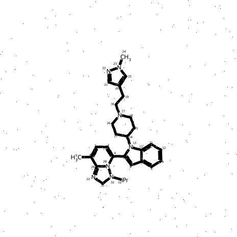 CC1=CC=C(c2cc3ccccc3n2C2CCN(CCc3cnn(C)c3)CC2)N2C1=NCN2C(C)C